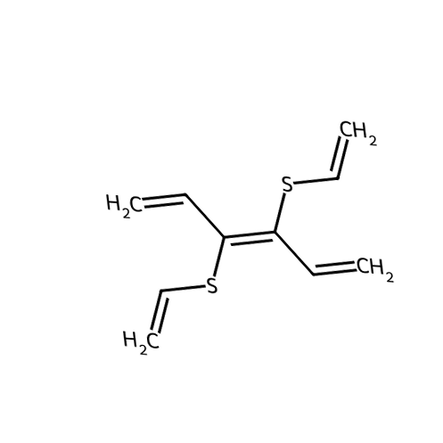 C=CS/C(C=C)=C(\C=C)SC=C